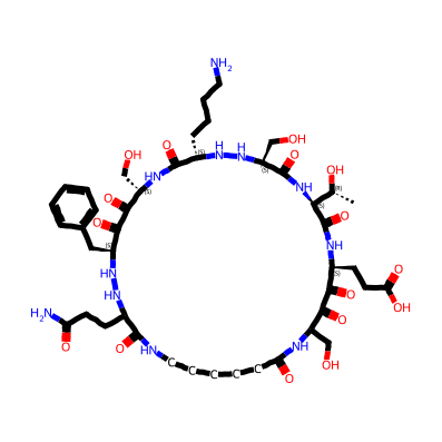 C[C@@H](O)[C@@H]1NC(=O)[C@H](CO)NN[C@@H](CCCCN)C(=O)N[C@@H](CO)C(=O)C(=O)[C@H](Cc2ccccc2)NNC(CCC(N)=O)C(=O)NCCCCCC(=O)NC(CO)C(=O)C(=O)[C@H](CCC(=O)O)NC1=O